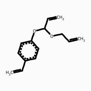 C=CCOC(C=C)Oc1ccc(C=C)cc1